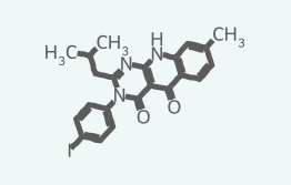 Cc1ccc2c(=O)c3c(=O)n(-c4ccc(I)cc4)c(CC(C)C)nc3[nH]c2c1